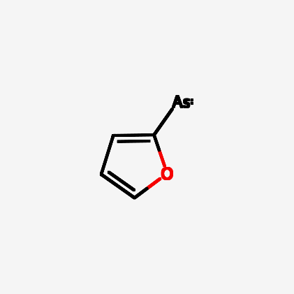 [As]c1ccco1